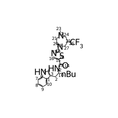 CCCCC(Cc1c[nH]c2ccccc12)NC(=O)c1cnc(N2CCN(C)CC(C(F)(F)F)C2)s1